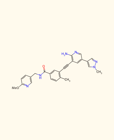 COc1ccc(CNC(=O)c2ccc(C)c(C#Cc3cc(-c4cnn(C)c4)cnc3N)c2)cn1